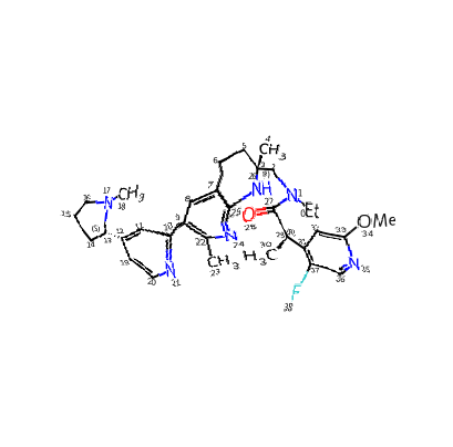 CCN(C[C@@]1(C)CCc2cc(-c3cc([C@@H]4CCCN4C)ccn3)c(C)nc2N1)C(=O)[C@H](C)c1cc(OC)ncc1F